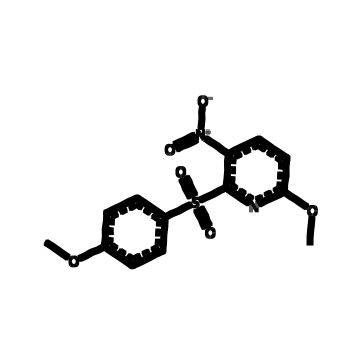 COc1ccc(S(=O)(=O)c2nc(OC)ccc2[N+](=O)[O-])cc1